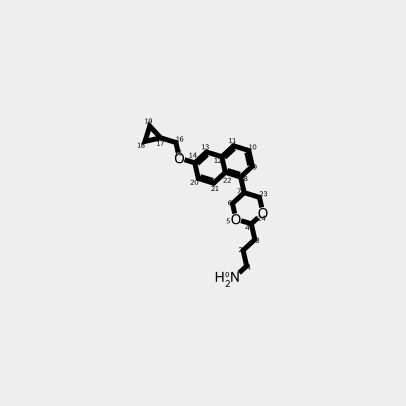 NCCCC1OCC(c2cccc3cc(OCC4CC4)ccc23)CO1